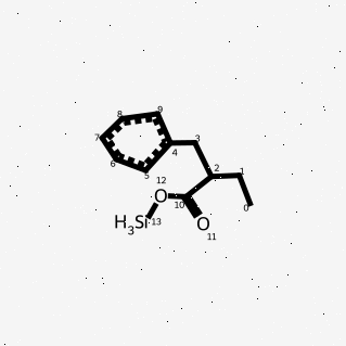 CCC(Cc1ccccc1)C(=O)O[SiH3]